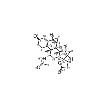 CC(=O)O.C[C@]12CCC(=O)C=C1[C@@H]1C[C@@H]1[C@H]1[C@@H]3[C@@H]4C[C@@H]4[C@@]4(CCC(=O)O4)[C@@]3(C)CC[C@@H]12